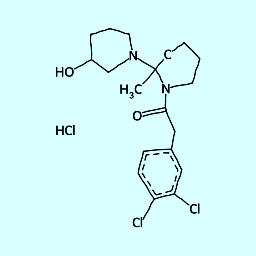 CC1(N2CCCC(O)C2)CCCCN1C(=O)Cc1ccc(Cl)c(Cl)c1.Cl